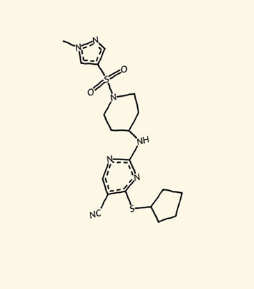 Cn1cc(S(=O)(=O)N2CCC(Nc3ncc(C#N)c(SC4CCCC4)n3)CC2)cn1